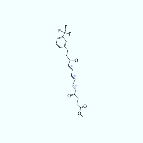 COC(=O)CCC(=O)/C=C/C=C/C=C/C(=O)CCc1cccc(C(F)(F)F)c1